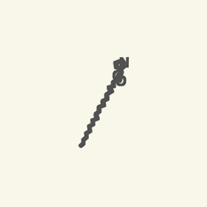 CCCCCCCCCC=CC=CC=CC=CC=CC=CC(=O)OCc1cccnc1